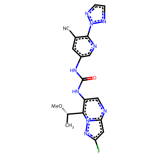 CO[C@@H](C)c1c(NC(=O)Nc2cnc(-n3nccn3)c(C#N)c2)cnc2cc(F)nn12